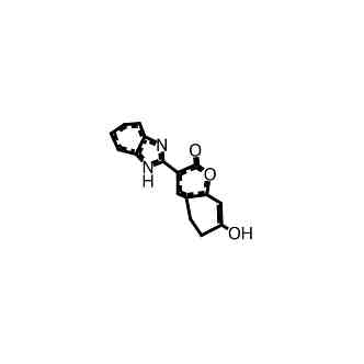 O=c1oc2c(cc1-c1nc3ccccc3[nH]1)CCC(O)=C2